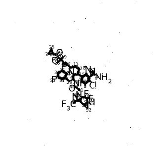 Cn1nc(N)c2c(Cl)ccc(-c3ccc(C#CC(C)(C)S(=O)(=O)C4CC4)nc3[C@H](Cc3cc(F)cc(F)c3)NC(=O)Cn3nc(C(F)(F)F)c4c3C(F)(F)[C@@H]3CC43)c21